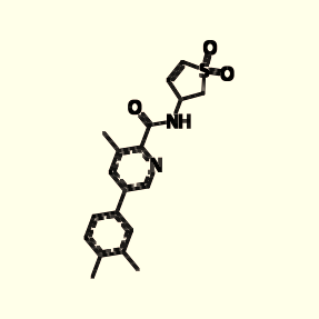 Cc1ccc(-c2cnc(C(=O)NC3C=CS(=O)(=O)C3)c(C)c2)cc1C